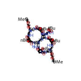 CCCCOc1c2cccc1C(=O)NCCN1CCNC(=O)c3cccc(c3OCCCC)C(=O)NCCN(CCOCCOCCOC)CCNC(=O)c3cccc(c3OCCCC)C(=O)NC(CCCCNC(=O)OC(C)(C)C)CN(CCNC(=O)c3cccc(c3OCCCC)C(=O)NCCN(CCOCCOCCOC)CCNC2=O)CC1